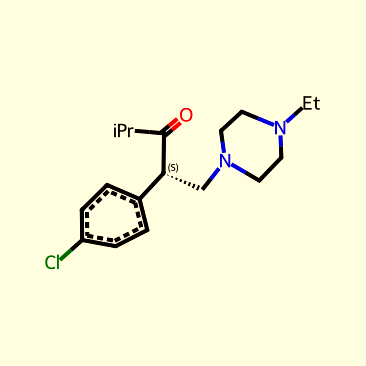 CCN1CCN(C[C@@H](C(=O)C(C)C)c2ccc(Cl)cc2)CC1